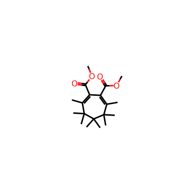 COC(=O)C1=C(C)C(C)(C)C(C)(C)C(C)(C)C(C)=C1C(=O)OC